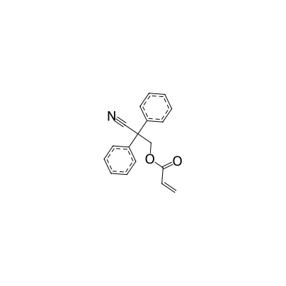 C=CC(=O)OCC(C#N)(c1ccccc1)c1ccccc1